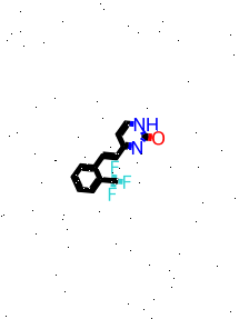 O=c1nc(C=Cc2ccccc2C(F)(F)F)cc[nH]1